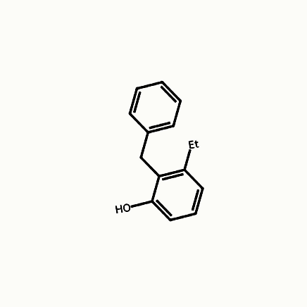 CCc1cccc(O)c1Cc1ccccc1